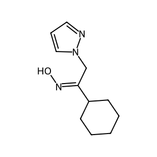 ON=C(Cn1cccn1)C1CCCCC1